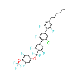 CCCCCCc1cc(F)c(-c2cc(F)c(-c3cc(F)c(C(F)(F)Oc4cc(F)c(OC(F)(F)F)c(F)c4)c(F)c3)c(Cl)c2)c(F)c1